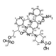 CC(C)c1nccc(CCCOS(C)(=O)=O)c1-n1c(=O)nc(N2CCN(C(=O)O)CC2C)c2cc(F)c(-c3c(F)cccc3C(N)=O)nc21